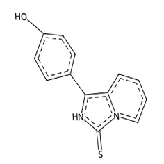 Oc1ccc(-c2[nH]c(=S)n3ccccc23)cc1